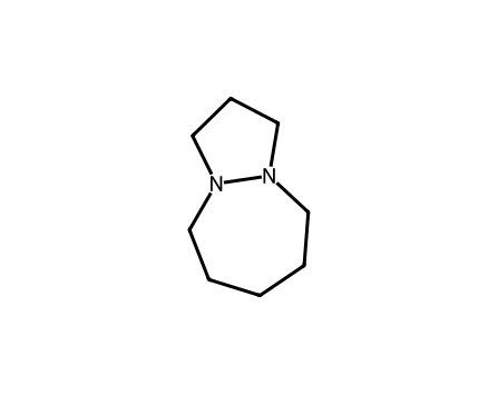 C1CCN2CCCN2CC1